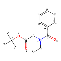 CCN(CC(=O)OC(C)(C)C)C(=O)c1ccccc1